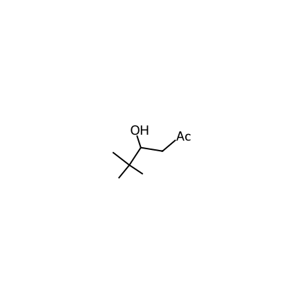 CC(=O)CC(O)C(C)(C)C